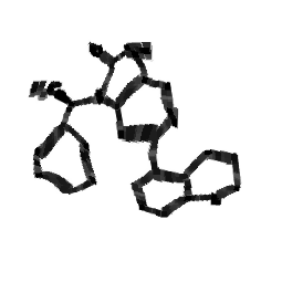 C[C@H](c1ccccc1)n1c(=O)[nH]c2cnc(-c3cccc4ncccc34)cc21